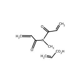 C=CC(=O)N(C)C(=O)C=C.C=CC(=O)O